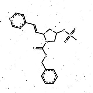 CS(=O)(=O)OC1CC(C=Cc2ccncc2)N(C(=O)OCc2ccccc2)C1